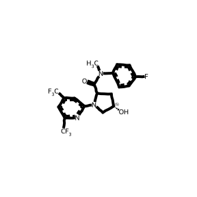 CN(C(=O)C1C[C@H](O)CN1c1cc(C(F)(F)F)cc(C(F)(F)F)n1)c1ccc(F)cc1